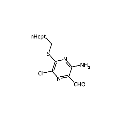 CCCCCCCCSc1nc(N)c(C=O)nc1Cl